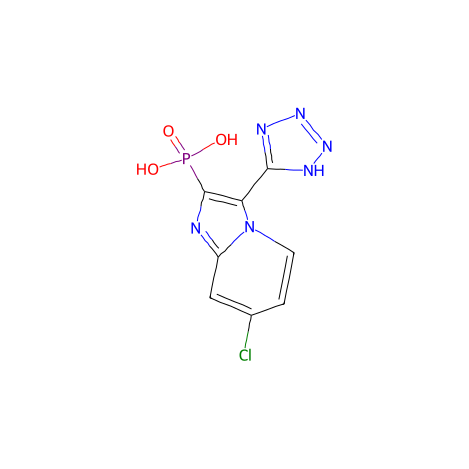 O=P(O)(O)c1nc2cc(Cl)ccn2c1-c1nnn[nH]1